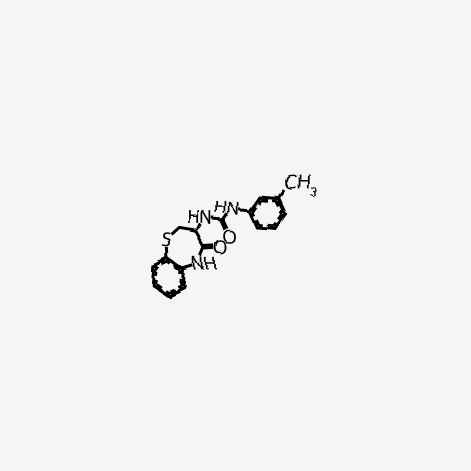 Cc1cccc(NC(=O)N[C@@H]2CSc3ccccc3NC2=O)c1